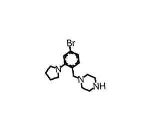 Brc1ccc(CN2CCNCC2)c(N2CCCC2)c1